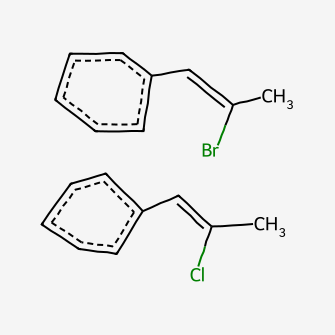 CC(Br)=Cc1ccccc1.CC(Cl)=Cc1ccccc1